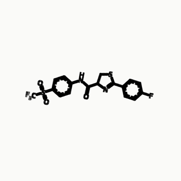 O=C(Nc1ccc(S(=O)(=O)C(F)(F)F)cc1)C1CSC(c2ccc(F)cc2)=N1